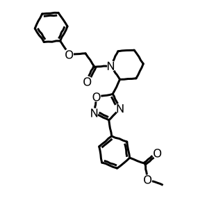 COC(=O)c1cccc(-c2noc(C3CCCCN3C(=O)COc3ccccc3)n2)c1